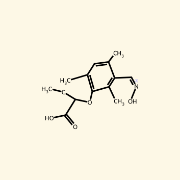 CCC(Oc1c(C)cc(C)c(/C=N\O)c1C)C(=O)O